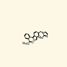 CCCCc1nccn1Cc1ccc2c(-c3ccccc3C(=O)OC)occ2c1